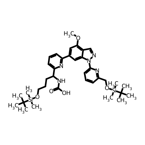 COc1cc(-c2cccc(C(CCCO[Si](C)(C)C(C)(C)C)NC(=O)O)n2)cc2c1cnn2-c1cccc(CO[Si](C)(C)C(C)(C)C)n1